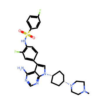 CN1CCN([C@H]2CC[C@@H](n3cc(-c4ccc(NS(=O)(=O)c5ccc(F)cc5)c(F)c4)c4c(N)ncnc43)CC2)CC1